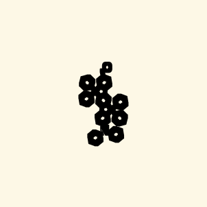 O=Cc1ccc2c(c1)C(c1ccccc1)(c1ccccc1)c1cc3c(cc1-2)C(c1ccccc1)(c1ccccc1)c1cc(N(c2ccccc2)c2ccccc2)ccc1-3